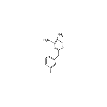 Nc1ccc(Cc2cccc(F)c2)cc1N